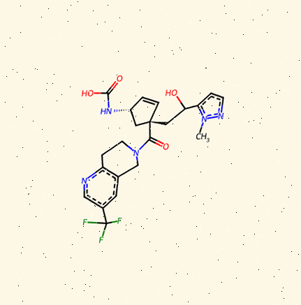 Cn1nccc1C(O)C[C@]1(C(=O)N2CCc3ncc(C(F)(F)F)cc3C2)C=C[C@@H](NC(=O)O)C1